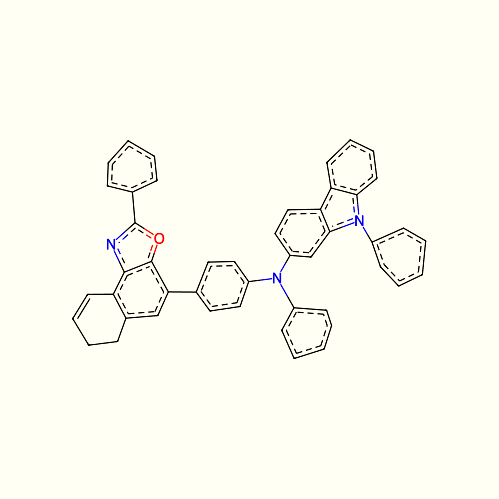 C1=Cc2c(cc(-c3ccc(N(c4ccccc4)c4ccc5c6ccccc6n(-c6ccccc6)c5c4)cc3)c3oc(-c4ccccc4)nc23)CC1